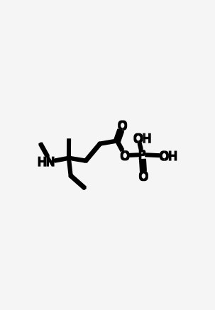 CCC(C)(CCC(=O)OP(=O)(O)O)NC